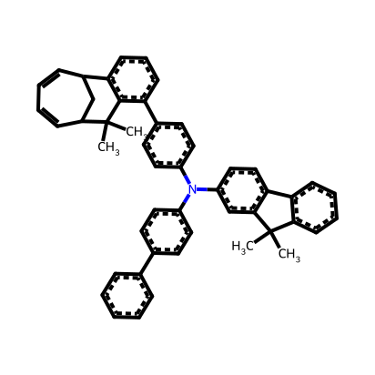 CC1(C)c2ccccc2-c2ccc(N(c3ccc(-c4ccccc4)cc3)c3ccc(-c4cccc5c4C(C)(C)C4C=CC=CC5C4)cc3)cc21